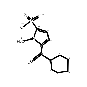 Cn1c(C(=O)C2CCCCC2)ccc1S(=O)(=O)Cl